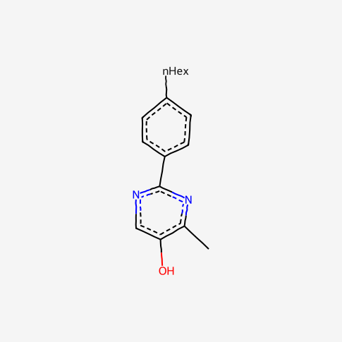 CCCCCCc1ccc(-c2ncc(O)c(C)n2)cc1